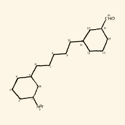 CCCC1CCCC(CCCCCC2CCCC(C=O)C2)C1